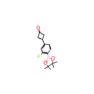 CC1(C)OB(c2ccc(C3CC(=O)C3)cc2F)OC1(C)C